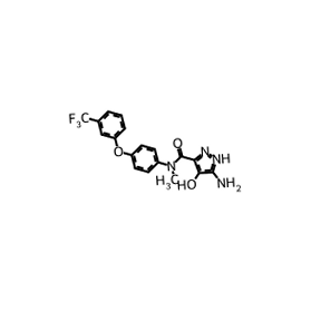 CN(C(=O)c1n[nH]c(N)c1O)c1ccc(Oc2cccc(C(F)(F)F)c2)cc1